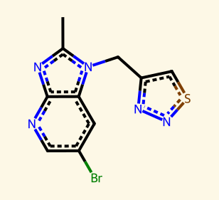 Cc1nc2ncc(Br)cc2n1Cc1csnn1